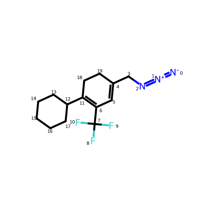 [N-]=[N+]=NCC1=CC(C(F)(F)F)=C(C2CCCCC2)CC1